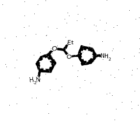 CCC(Oc1ccc(N)cc1)Oc1ccc(N)cc1